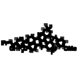 COc1ccc(CO[C@H]2CC(C)(C)Cc3nc(C4CCN(c5ncc(C(O)CC(C)C)cn5)CC4)c([C@@H](F)c4ccc(C(F)(F)F)cc4)c(C4CCC(F)(F)CC4)c32)cc1